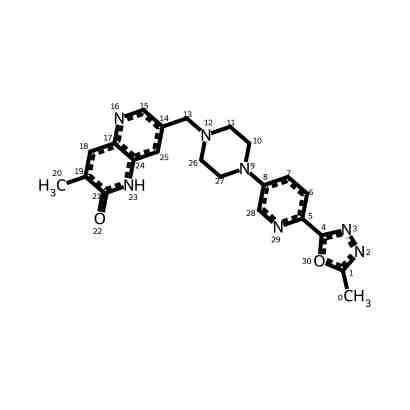 Cc1nnc(-c2ccc(N3CCN(Cc4cnc5cc(C)c(=O)[nH]c5c4)CC3)cn2)o1